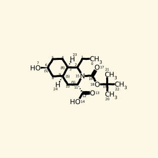 CCC1[C@@H]2CC[C@H](O)C[C@@H]2C[C@@H](C(=O)O)N1C(=O)OC(C)(C)C